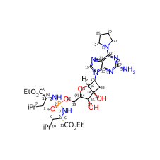 CCOC(=O)[C@H](CC(C)C)NP(=O)(N[C@@H](CC(C)C)C(=O)OCC)OC[C@H]1O[C@H]2C(n3cnc4c(N5CCCC5)nc(N)nc43)C[C@]2(O)C1O